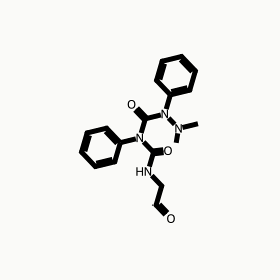 CN(C)N(C(=O)N(C(=O)NC[C]=O)c1ccccc1)c1ccccc1